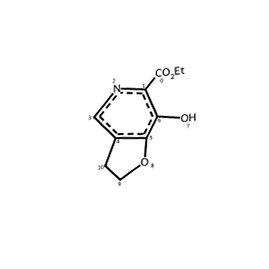 CCOC(=O)c1ncc2c(c1O)OCC2